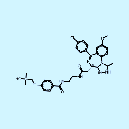 COc1ccc2c(c1)C(c1ccc(Cl)cc1)=N[C@@H](CC(=O)NCCNC(=O)c1ccc(OC[Si](C)(C)O)cc1)C1NNC(C)N21